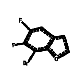 Fc1cc2ccoc2c(Br)c1F